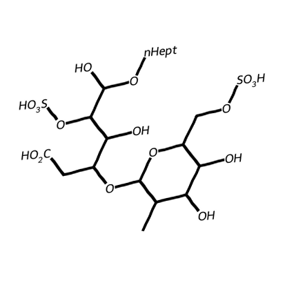 CCCCCCCOC(O)C(OS(=O)(=O)O)C(O)C(CC(=O)O)OC1OC(COS(=O)(=O)O)C(O)C(O)C1C